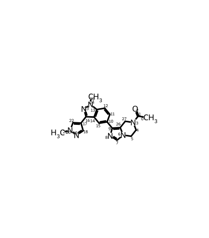 CC(=O)N1CCn2cnc(-c3ccc4c(c3)c(-c3cnn(C)c3)nn4C)c2C1